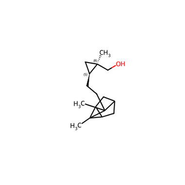 CC1(CC[C@H]2C[C@@]2(C)CO)C2CC3C(C2)C31C